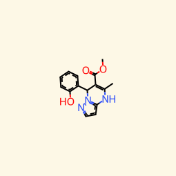 COC(=O)C1=C(C)Nc2ccnn2C1c1ccccc1O